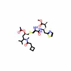 COC(=O)[C@@H](C)C[C@H](Cc1nccs1)NC(=O)/C(N)=C/SC[C@@H](CC(C(C)C)N(C)C(=O)CC1CCC1)OC(C)=O